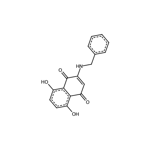 O=C1C=C(NCc2ccccc2)C(=O)c2c(O)ccc(O)c21